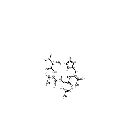 CC(C)[C@H](N)C(=O)N[C@H](C(=O)N[C@@H](CC(=O)O)C(=O)N[C@@H](Cc1c[nH]cn1)C(=O)O)[C@@H](C)O